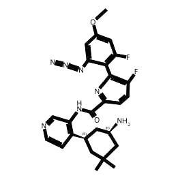 COc1cc(F)c(-c2nc(C(=O)Nc3cnccc3[C@H]3C[C@@H](N)CC(C)(C)C3)ccc2F)c(N=[N+]=[N-])c1